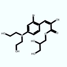 N#CC(=Cc1ccc(N(CCO)CCO)cc1Br)C(=O)OCC(O)CO